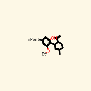 C=C(C)C1CCC(C)=CC1c1c(O)cc(CCCCC)cc1OCC